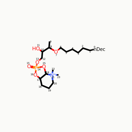 CCCCCCCCCCCCCCCCOC(C)C(O)COP1(=O)OC2CCC[N+](C)(C)C2O1